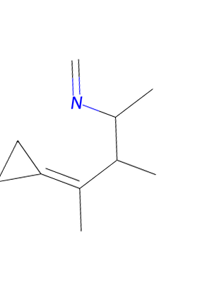 C=NC(C)C(C)C(C)=C1CC1